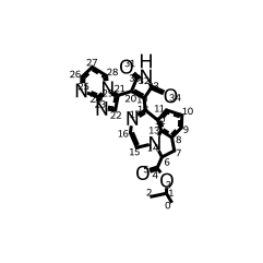 CC(C)OC(=O)C1Cc2cccc3c2N1C=CN=C3C1=C(c2cnc3ncccn23)C(=O)NC1=O